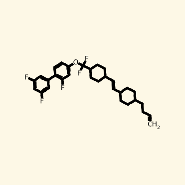 C=CCCC1CCC(/C=C/C2CCC(C(F)(F)Oc3ccc(-c4cc(F)cc(F)c4)c(F)c3)CC2)CC1